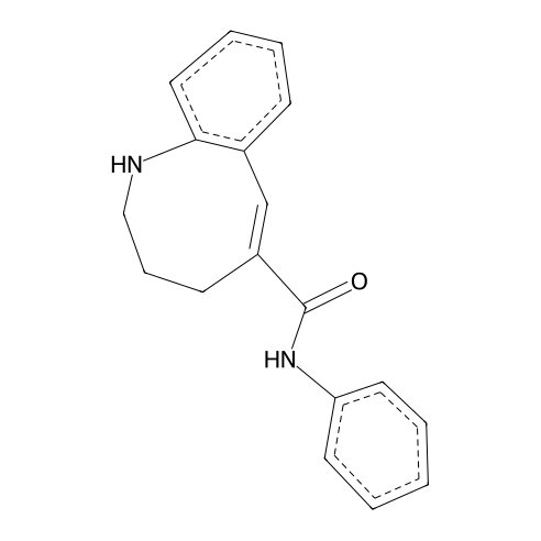 O=C(Nc1ccccc1)/C1=C/c2ccccc2NCCC1